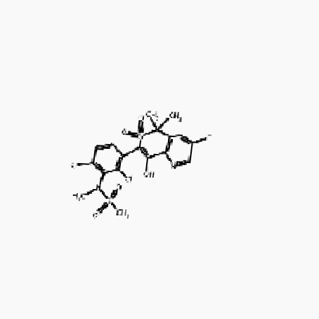 CN(c1c(Cl)ccc(C2=C(O)c3ncc(F)cc3C(C)(C)S2(=O)=O)c1Cl)S(C)(=O)=O